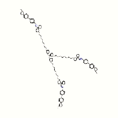 CCOc1ccc(-c2ccc(/C=C/C(=O)OCCCCCCCCCCOCC(COCCCCCCCCCCOC(=O)/C=C/c3ccc(-c4ccc(OCC)cc4)cc3)OCCCCCCCCCCOC(=O)/C=C/c3ccc(-c4ccc(OCC)cc4)cc3)cc2)cc1